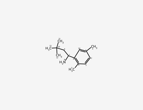 Cc1ccc(C)c(C(N)CC(C)(C)C)c1